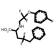 O=C(O)C(CC(F)(F)Cc1ccccc1)NCC(F)(F)Oc1ccc(F)cc1